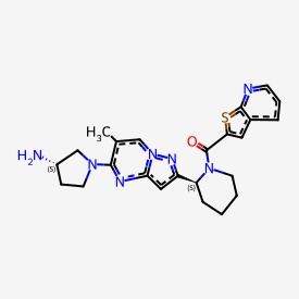 Cc1cn2nc([C@@H]3CCCCN3C(=O)c3cc4cccnc4s3)cc2nc1N1CC[C@H](N)C1